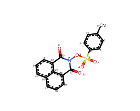 N#Cc1ccc(S(=O)(=O)ON2C(=O)c3cccc4cccc(c34)C2=O)cc1